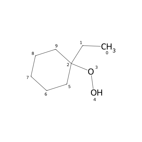 CCC1(OO)CCCCC1